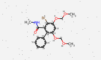 CNC(=O)c1c(Br)c(OCOC)cc(OCOC)c1-c1ccccc1